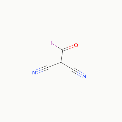 N#CC(C#N)C(=O)I